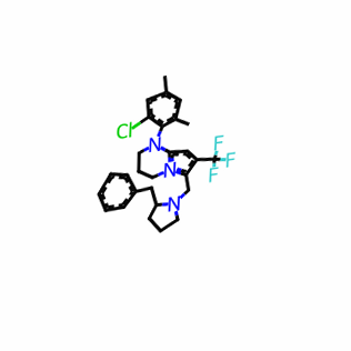 Cc1cc(C)c(N2CCCn3c2cc(C(F)(F)F)c3CN2CCCC2Cc2ccccc2)c(Cl)c1